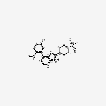 COc1ccc(F)cc1-c1ccnc2[nH]c(C3CCN(S(C)(=O)=O)CC3)cc12